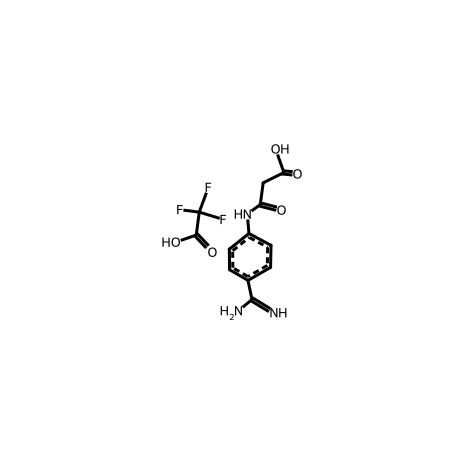 N=C(N)c1ccc(NC(=O)CC(=O)O)cc1.O=C(O)C(F)(F)F